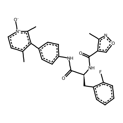 Cc1cc[n+]([O-])c(C)c1-c1ccc(NC(=O)[C@H](Cc2ccccc2F)NC(=O)c2conc2C)cc1